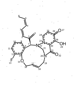 C=C(/C=C\C=C/C)[C@@H]1c2cccc(F)c2OC/C=C/CN2CN1n1ccc(=O)c(O)c1C2=O